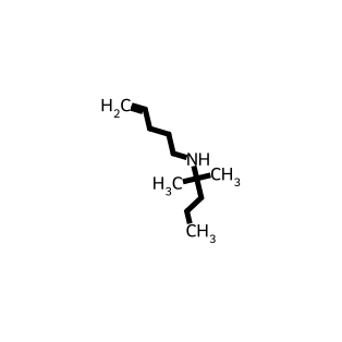 C=CCCCNC(C)(C)CCC